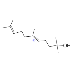 CC(C)=CCC/C(C)=C/CCC(C)(C)O